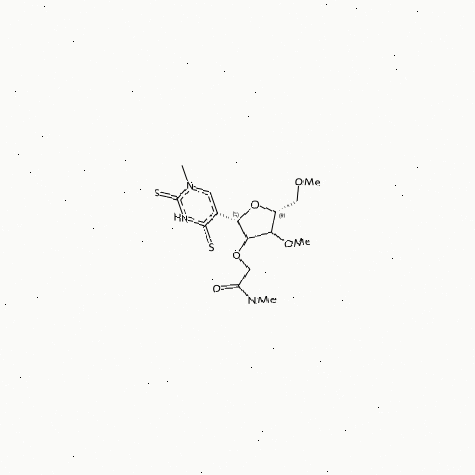 CNC(=O)COC1C(OC)[C@@H](COC)O[C@H]1c1cn(C)c(=S)[nH]c1=S